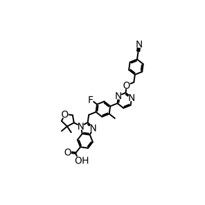 Cc1cc(Cc2nc3ccc(C(=O)O)cc3n2C2COCC2(C)C)c(F)cc1-c1ccnc(OCc2ccc(C#N)cc2)n1